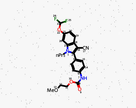 CCCn1c(-c2ccc(NC(=O)OCCOC)cc2)c(C#N)c2ccc(OC(F)F)cc21